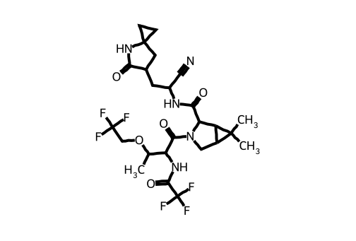 CC(OCC(F)(F)F)C(NC(=O)C(F)(F)F)C(=O)N1CC2C(C1C(=O)NC(C#N)CC1CC3(CC3)NC1=O)C2(C)C